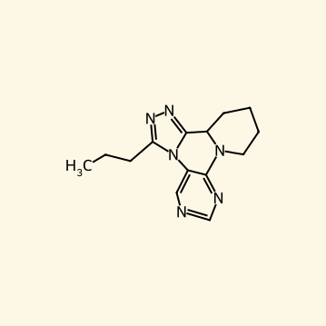 CCCc1nnc2n1-c1cncnc1N1CCCCC21